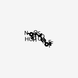 Cc1sc(C(=O)Nc2ccc(C#N)cc2C(=O)O)cc1S(=O)(=O)N1CCN(c2cccc(C(F)(F)F)c2)CC1